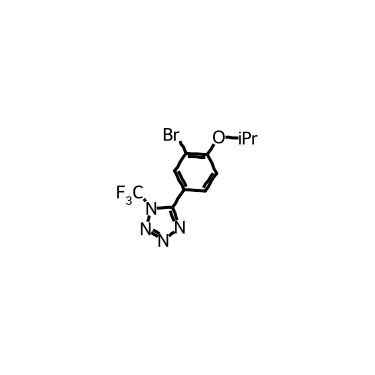 CC(C)Oc1ccc(-c2nnnn2C(F)(F)F)cc1Br